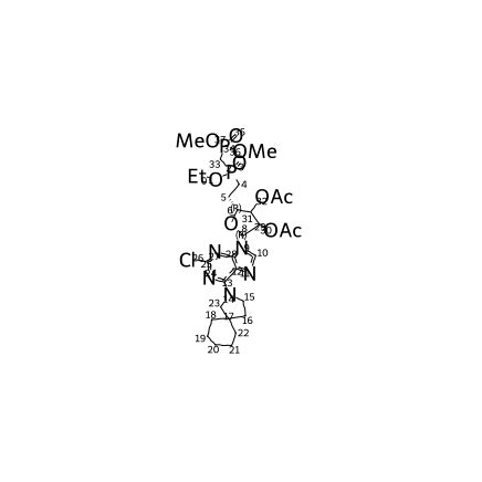 CCOP(=O)(CC[C@H]1O[C@@H](n2cnc3c(N4CCC5(CCCCC5)C4)nc(Cl)nc32)C(OC(C)=O)C1OC(C)=O)CP(=O)(OC)OC